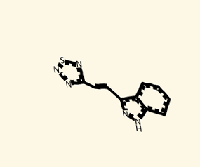 C(=Cc1n[nH]c2ccccc12)c1nnsn1